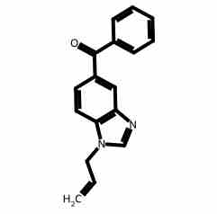 C=CCn1cnc2cc(C(=O)c3ccccc3)ccc21